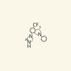 C[C@@H]1CN(c2ccc(C(F)(F)F)c3c2CN(c2ccccc2)CC3)CCN1